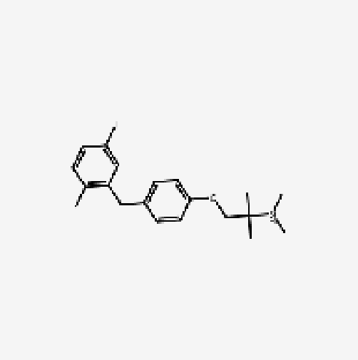 Cc1ccc(I)cc1Cc1ccc(OCC(C)(C)[SiH](C)C)cc1